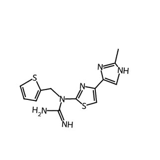 Cc1nc(-c2csc(N(Cc3cccs3)C(=N)N)n2)c[nH]1